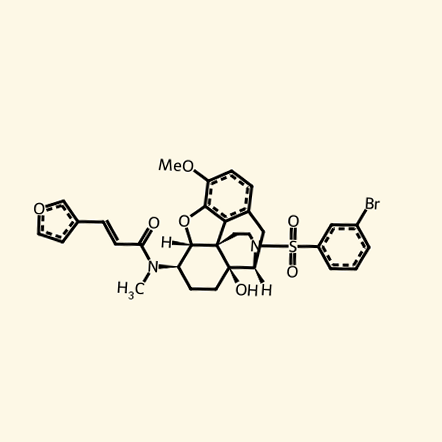 COc1ccc2c3c1O[C@H]1[C@H](N(C)C(=O)/C=C/c4ccoc4)CC[C@@]4(O)[C@@H](C2)N(S(=O)(=O)c2cccc(Br)c2)CC[C@]314